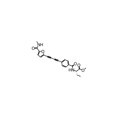 CC[C@H](NC(=O)c1ccc(C#CC#Cc2ccc(C(=O)NC)o2)cc1)C(=O)OC